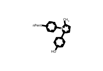 CCCCCc1ccc(-n2c(C)ccc2-c2ccc(O)cc2)cc1